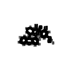 O=S(=O)(NC1CCCC(N2c3ccccc3Oc3ccccc32)[C@H]1O)c1ccc(OC(F)(F)F)cc1Cl